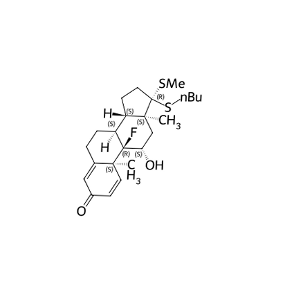 CCCCS[C@]1(SC)CC[C@H]2[C@@H]3CCC4=CC(=O)C=C[C@]4(C)[C@@]3(F)[C@@H](O)C[C@@]21C